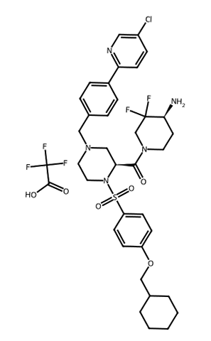 N[C@H]1CCN(C(=O)[C@@H]2CN(Cc3ccc(-c4ccc(Cl)cn4)cc3)CCN2S(=O)(=O)c2ccc(OCC3CCCCC3)cc2)CC1(F)F.O=C(O)C(F)(F)F